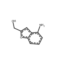 Nc1cccc2oc(CO)cc12